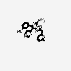 Cc1cccc(Cc2nc3c(-c4ccncn4)c(-c4cccc(C#N)c4)nc(N)n3n2)n1